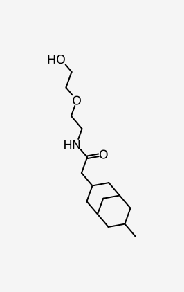 CC1CC2CC(CC(=O)NCCOCCO)CC(C1)C2